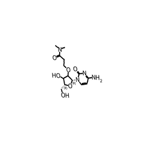 CN(C)C(=O)CCOC1C(O)[C@@H](CO)O[C@H]1n1ccc(N)nc1=O